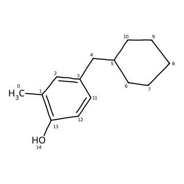 Cc1cc(CC2CCCCC2)ccc1O